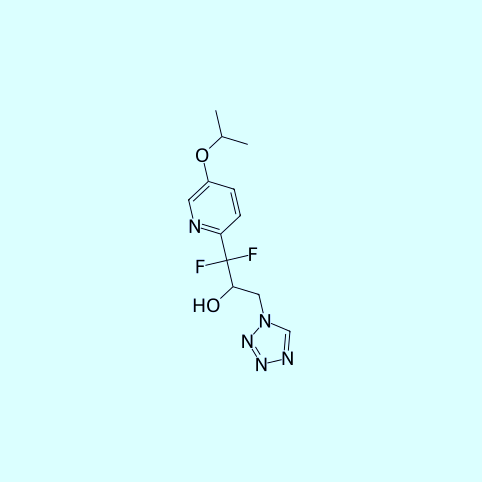 CC(C)Oc1ccc(C(F)(F)C(O)Cn2cnnn2)nc1